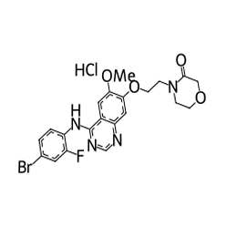 COc1cc2c(Nc3ccc(Br)cc3F)ncnc2cc1OCCN1CCOCC1=O.Cl